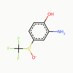 Nc1cc([S+]([O-])C(F)(F)F)ccc1O